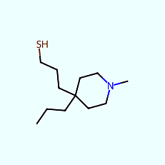 CCCC1(CCCS)CCN(C)CC1